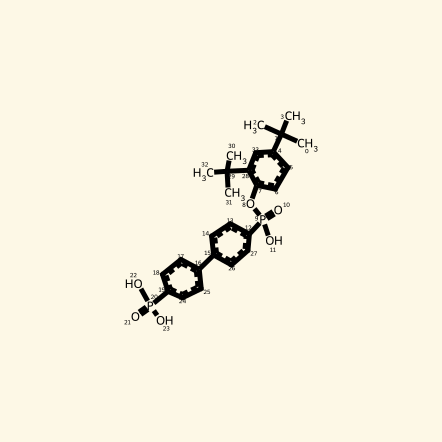 CC(C)(C)c1ccc(OP(=O)(O)c2ccc(-c3ccc(P(=O)(O)O)cc3)cc2)c(C(C)(C)C)c1